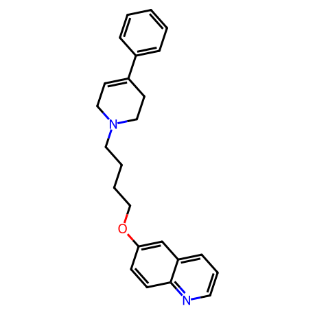 C1=C(c2ccccc2)CCN(CCCCOc2ccc3ncccc3c2)C1